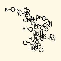 CCN(CC)CCCS(=O)(=O)N1CCC[C@H]1c1nc(Cc2ccc(Br)cc2)no1.CCN(CC)CCCS(=O)(=O)N[C@H](CC(N)=O)c1nc(Cc2ccc(Br)cc2)no1.CCN(CC)CCCS(=O)(=O)N[C@H](CCC(N)=O)c1nc(Cc2ccc(Br)cc2)no1.N[C@H](CCc1ccccc1)c1nc(C2CCCCC2)n[nH]1